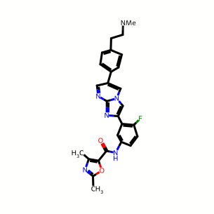 CNCCc1ccc(-c2cnc3nc(-c4cc(NC(=O)c5oc(C)nc5C)ccc4F)cn3c2)cc1